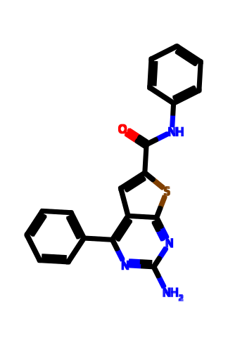 Nc1nc(-c2ccccc2)c2cc(C(=O)Nc3ccccc3)sc2n1